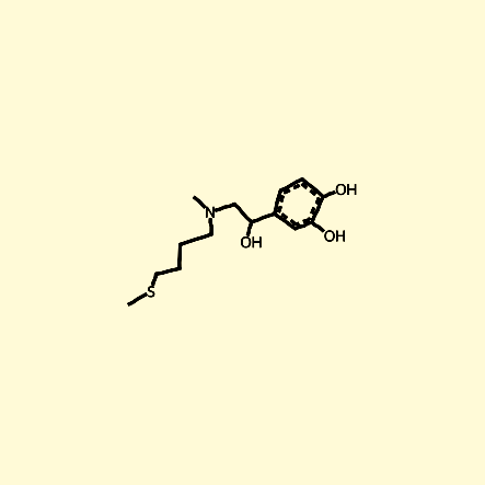 CSCCCCN(C)CC(O)c1ccc(O)c(O)c1